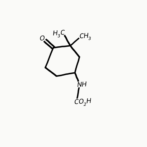 CC1(C)CC(NC(=O)O)CCC1=O